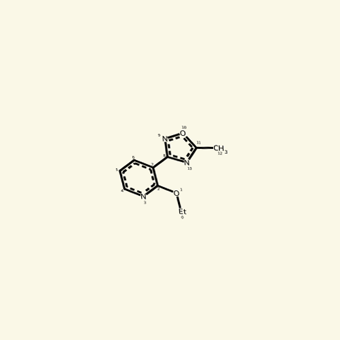 CCOc1ncccc1-c1noc(C)n1